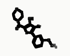 COc1cccc(-c2sc(C(=O)N3CCOCC3)c(O)c2Br)c1